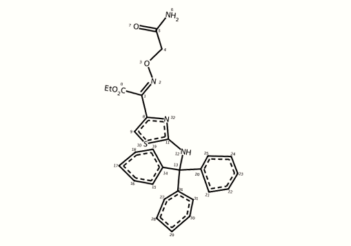 CCOC(=O)C(=NOCC(N)=O)c1csc(NC(c2ccccc2)(c2ccccc2)c2ccccc2)n1